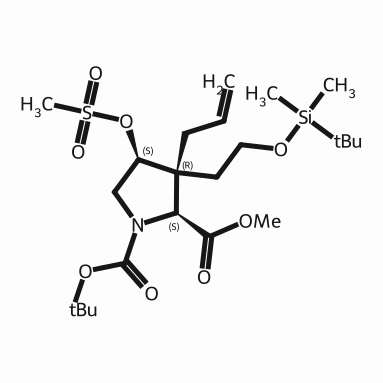 C=CC[C@]1(CCO[Si](C)(C)C(C)(C)C)[C@H](OS(C)(=O)=O)CN(C(=O)OC(C)(C)C)[C@@H]1C(=O)OC